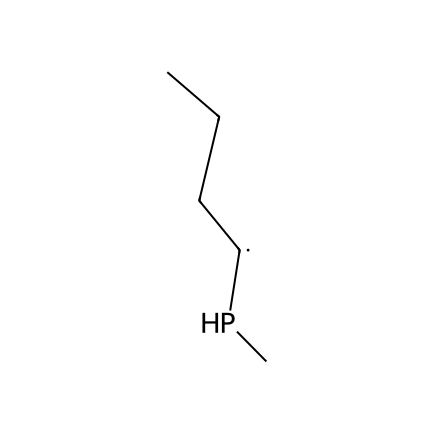 CCC[CH]PC